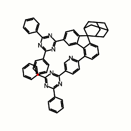 c1ccc(-c2nc(-c3ccccc3)nc(-c3ccc(-c4cccc5c4-c4cc(-c6nc(-c7ccccc7)nc(-c7ccccc7)n6)ccc4C54C5CC6CC(C5)CC4C6)nc3)n2)cc1